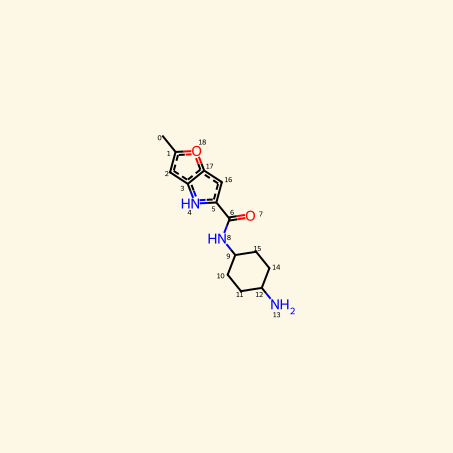 Cc1cc2[nH]c(C(=O)NC3CCC(N)CC3)cc2o1